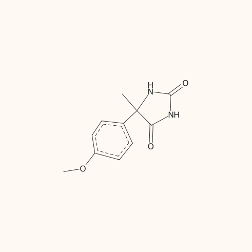 COc1ccc(C2(C)NC(=O)NC2=O)cc1